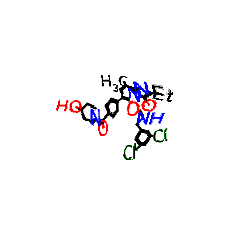 CCc1nc2c(C)cc(-c3ccc(C(=O)N4CCC(O)CC4)cc3)cn2c1OC(=O)NCc1cc(Cl)cc(Cl)c1